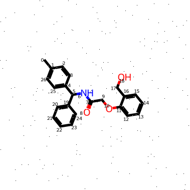 Cc1ccc(C(NC(=O)COc2ccccc2CO)c2ccccc2)cc1